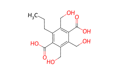 CCCc1c(CO)c(C(=O)O)c(CO)c(CO)c1C(=O)O